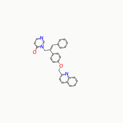 O=c1ccncn1CC(=Cc1ccccc1)c1ccc(OCc2ccc3ccccc3n2)cc1